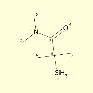 CN(C)C(=O)C(C)(C)[SiH3]